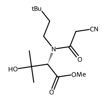 COC(=O)[C@@H](N(CCC(C)(C)C)C(=O)CC#N)C(C)(C)O